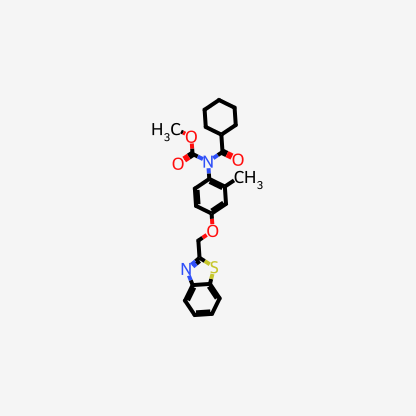 COC(=O)N(C(=O)C1CCCCC1)c1ccc(OCc2nc3ccccc3s2)cc1C